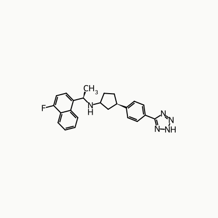 C[C@@H](NC1CC[C@@H](c2ccc(-c3nn[nH]n3)cc2)C1)c1ccc(F)c2ccccc12